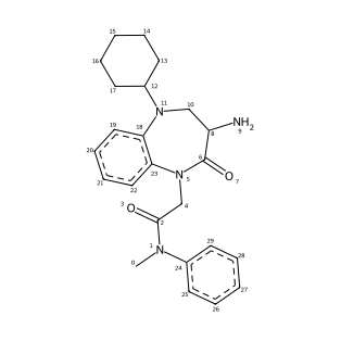 CN(C(=O)CN1C(=O)C(N)CN(C2CCCCC2)c2ccccc21)c1ccccc1